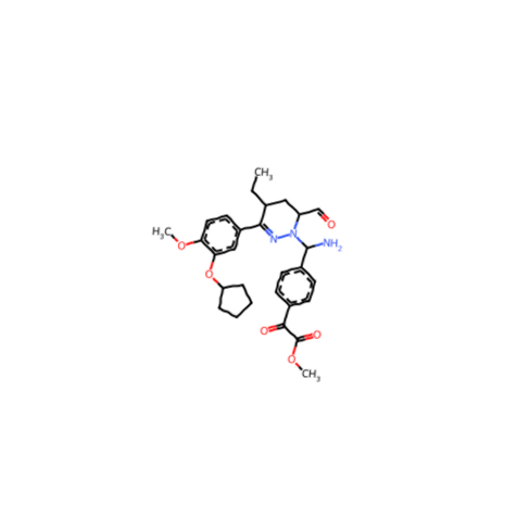 CCC1CC(C=O)N(C(N)c2ccc(C(=O)C(=O)OC)cc2)N=C1c1ccc(OC)c(OC2CCCC2)c1